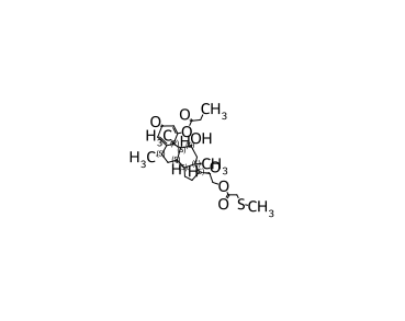 CCC(=O)OC1=CC(=O)C=C2[C@@H](C)C[C@@H]3[C@H]([C@@H](O)C[C@]4(C)[C@@H](C(=O)COC(=O)CSC)CC[C@@H]34)[C@@]12C